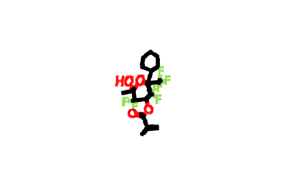 C=C(C)C(=O)OC1C(F)(F)C(C)(O)OC(C2CCCCC2)(C(F)(F)F)C1(F)F